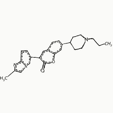 CCCN1CCC(c2ccc3cc(-c4ccc5nc(C)cn5c4)c(=O)oc3c2)CC1